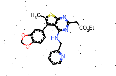 CCOC(=O)Cc1nc(NCc2ccccn2)c2c(-c3ccc4c(c3)OCO4)c(C)sc2n1